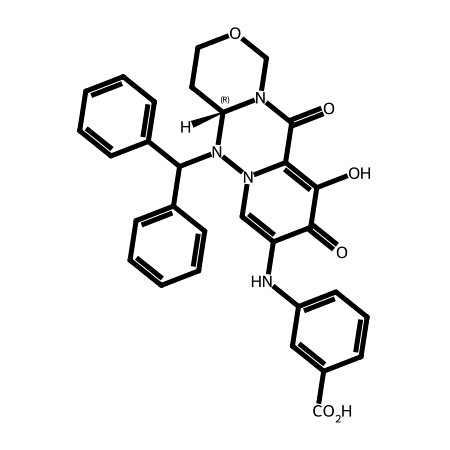 O=C(O)c1cccc(Nc2cn3c(c(O)c2=O)C(=O)N2COCC[C@H]2N3C(c2ccccc2)c2ccccc2)c1